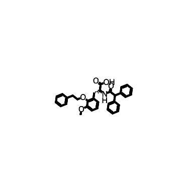 COc1cccc(C[C@@H](NC(=O)C(c2ccccc2)c2ccccc2)C(=O)O)c1OCCc1ccccc1